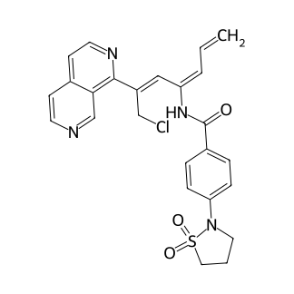 C=C/C=C(\C=C(/CCl)c1nccc2ccncc12)NC(=O)c1ccc(N2CCCS2(=O)=O)cc1